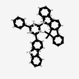 CC1(C)c2ccccc2-c2ccc3c4ccccc4n(-c4nc(-c5ccccc5)nc(-c5ccc6c(c5)sc5ccccc56)n4)c3c21